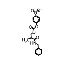 C=C(COC(=O)Oc1ccc([N+](=O)[O-])cc1)C(=O)NCc1ccccc1